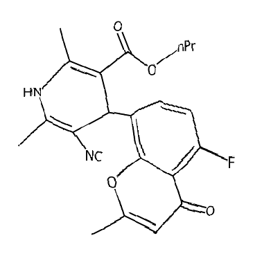 [C-]#[N+]C1=C(C)NC(C)=C(C(=O)OCCC)C1c1ccc(F)c2c(=O)cc(C)oc12